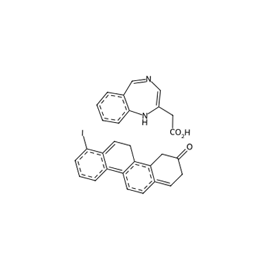 O=C(O)CC1=CN=Cc2ccccc2N1.O=C1CC=c2ccc3c(c2C1)CC=c1c(I)cccc1=3